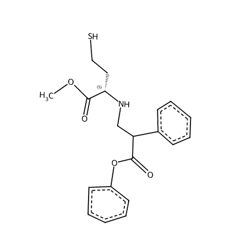 COC(=O)[C@H](CCS)NCC(C(=O)Oc1ccccc1)c1ccccc1